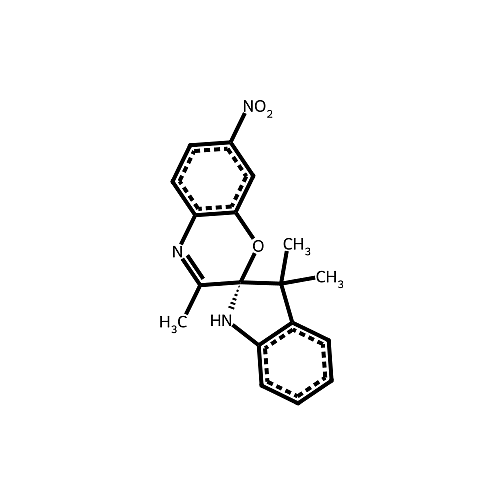 CC1=Nc2ccc([N+](=O)[O-])cc2O[C@]12Nc1ccccc1C2(C)C